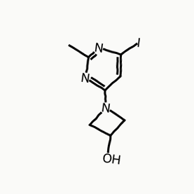 Cc1nc(I)cc(N2CC(O)C2)n1